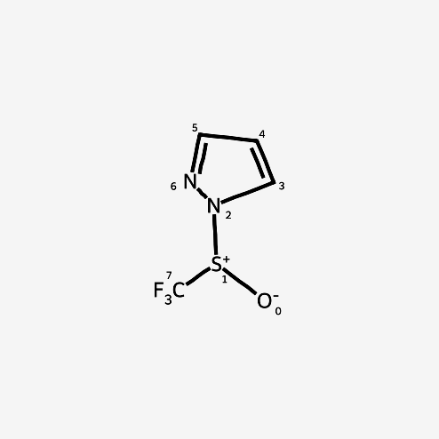 [O-][S+](n1cccn1)C(F)(F)F